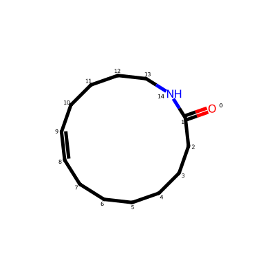 O=C1CCCCCCC=CCCCCN1